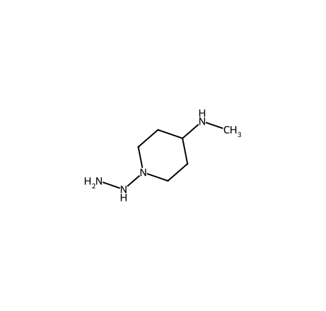 CNC1CCN(NN)CC1